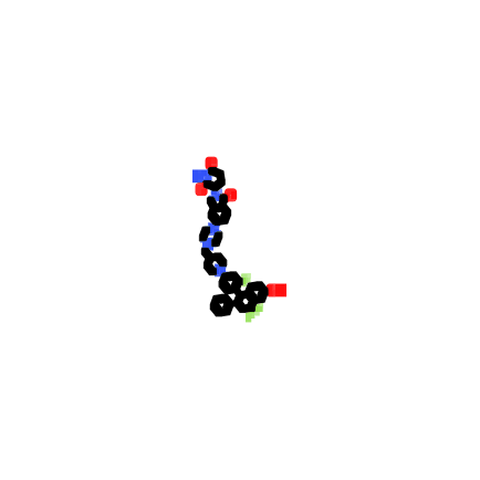 O=C1CC[C@H](N2Cc3cc(N4CCN(CC5CCN(c6ccc([C@H]7c8ccc(O)cc8C(F)(F)C[C@H]7c7ccccc7)c(F)c6)CC5)CC4)ccc3C2=O)C(=O)N1